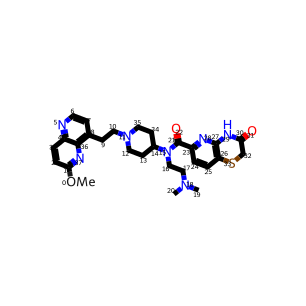 COc1ccc2nccc(CCN3CCC(N(CCN(C)C)C(=O)c4ccc5c(n4)NC(=O)CS5)CC3)c2n1